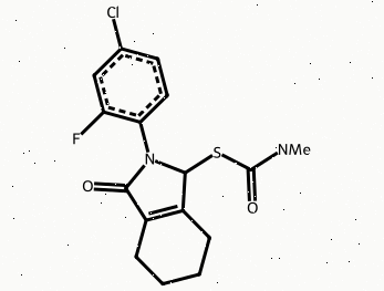 CNC(=O)SC1C2=C(CCCC2)C(=O)N1c1ccc(Cl)cc1F